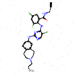 C#CCNC(=O)c1cc(F)cc(F)c1Nc1nc(Nc2ccc3c(c2)CCN(CCOC)CC3)ncc1Cl